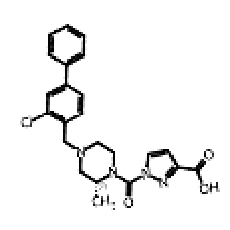 C[C@@H]1CN(Cc2ccc(-c3ccccc3)cc2Cl)CCN1C(=O)n1ccc(C(=O)O)n1